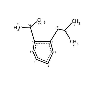 CC(C)Cc1ccccc1C(C)C